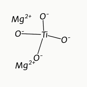 [Mg+2].[Mg+2].[O-][Ti]([O-])([O-])[O-]